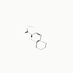 COC(=O)c1ccc2c(n1)CCCC2